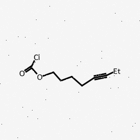 CCC#CCCCCOC(=O)Cl